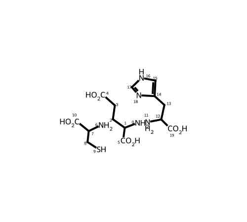 NC(CCC(=O)O)C(=O)O.NC(CS)C(=O)O.NC(Cc1c[nH]cn1)C(=O)O